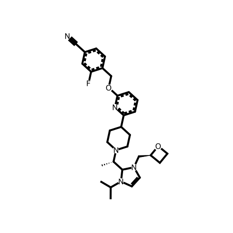 CC(C)N1C=CN(C[C@@H]2CCO2)C1[C@H](C)N1CCC(c2cccc(OCc3ccc(C#N)cc3F)n2)CC1